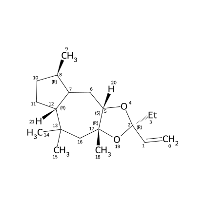 C=C[C@]1(CC)O[C@H]2CC3[C@H](C)CC[C@H]3C(C)(C)C[C@@]2(C)O1